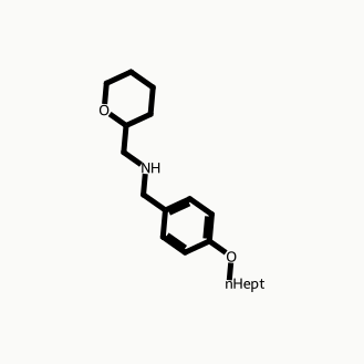 CCCCCCCOc1ccc(CNCC2CCCCO2)cc1